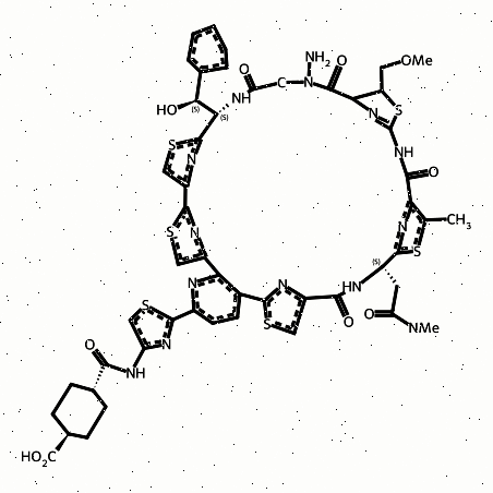 CNC(=O)C[C@@H]1NC(=O)c2csc(n2)-c2ccc(-c3nc(NC(=O)[C@H]4CC[C@H](C(=O)O)CC4)cs3)nc2-c2csc(n2)-c2csc(n2)[C@H]([C@@H](O)c2ccccc2)NC(=O)CN(N)C(=O)C2N=C(NC(=O)c3nc1sc3C)SC2COC